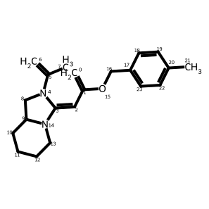 C=C(/C=C1\N(C(=C)C)CC2CCCCN12)OCc1ccc(C)cc1